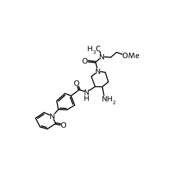 COCCN(C)C(=O)N1CCC(N)C(NC(=O)c2ccc(-n3ccccc3=O)cc2)C1